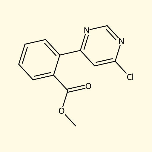 COC(=O)c1ccccc1-c1cc(Cl)ncn1